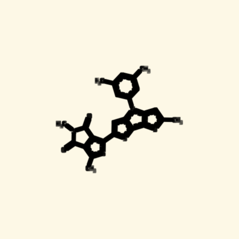 Cc1cc(-n2c3cc(C)sc3c3sc(-c4sc(C)c5c4C(=O)N(C)C5=O)cc32)cc(C(F)(F)F)c1